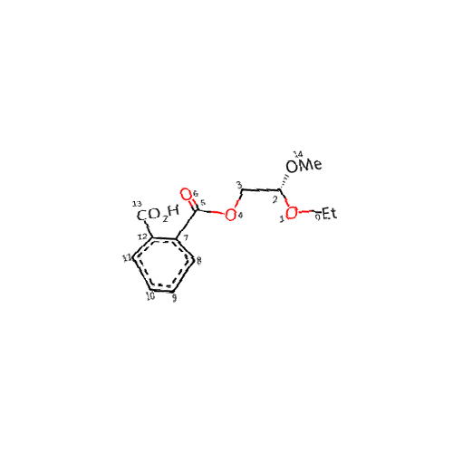 CCO[C@H](COC(=O)c1ccccc1C(=O)O)OC